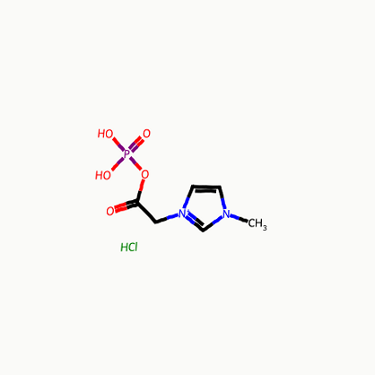 Cl.Cn1cc[n+](CC(=O)OP(=O)(O)O)c1